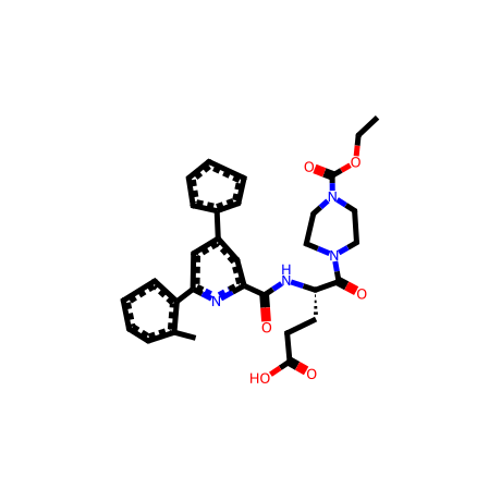 CCOC(=O)N1CCN(C(=O)[C@H](CCC(=O)O)NC(=O)c2cc(-c3ccccc3)cc(-c3ccccc3C)n2)CC1